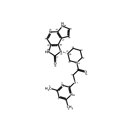 Cc1cc(C)nc(SCC(=O)N2CCC[C@@H](n3c(=O)[nH]c4cnc5[nH]ccc5c43)C2)n1